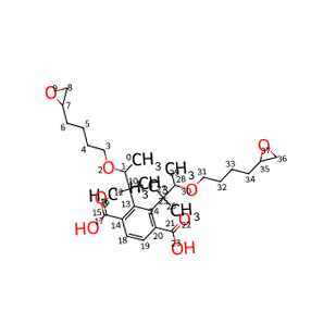 CC(OCCCCC1CO1)C(C)(C)c1c(C(=O)O)ccc(C(=O)O)c1C(C)(C)C(C)OCCCCC1CO1